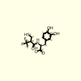 O=C(N[C@@H](Cc1ccc(O)c(O)c1)C(=O)O)C(CS)C(F)(F)F